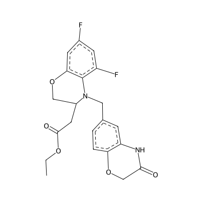 CCOC(=O)CC1COc2cc(F)cc(F)c2N1Cc1ccc2c(c1)NC(=O)CO2